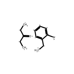 CCC(=O)CC.CCc1ccccc1Br